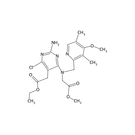 CCOC(=O)Cc1c(Cl)nc(N)nc1N(CC(=O)OC)Cc1ncc(C)c(OC)c1C